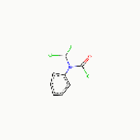 O=C(Cl)N(c1ccccc1)C(Cl)Cl